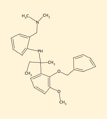 CCC(C)(Pc1ccccc1CN(C)C)c1cccc(OC)c1OCc1ccccc1